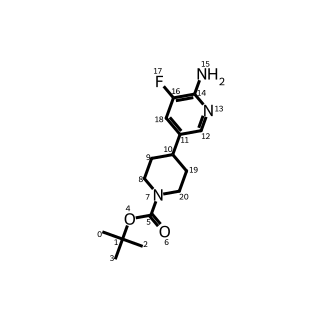 CC(C)(C)OC(=O)N1CCC(c2cnc(N)c(F)c2)CC1